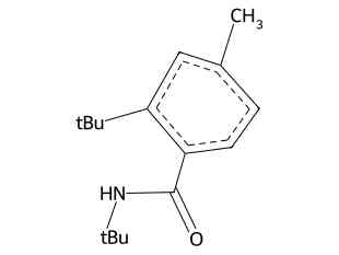 Cc1ccc(C(=O)NC(C)(C)C)c(C(C)(C)C)c1